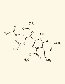 C=CCC1=C(C(=O)OC)O[C@@H]([C@H](OC(C)=O)[C@@H](COC(C)=O)OC(C)=O)[C@H](C)C1OC(C)=O